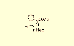 CCCCCCC=C(CC)c1ccccc1C(=O)OC